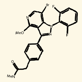 CNC(=O)Cc1ccc(-c2nn(-c3c(F)cccc3F)c3c(Br)cnc(OC)c23)cc1